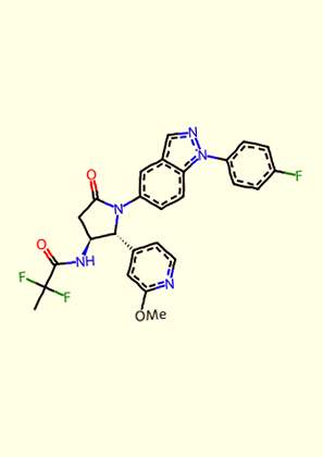 COc1cc([C@@H]2[C@@H](NC(=O)C(C)(F)F)CC(=O)N2c2ccc3c(cnn3-c3ccc(F)cc3)c2)ccn1